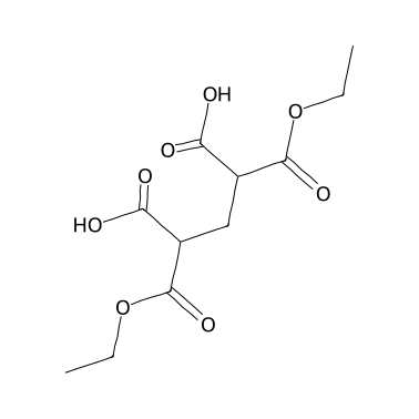 CCOC(=O)C(CC(C(=O)O)C(=O)OCC)C(=O)O